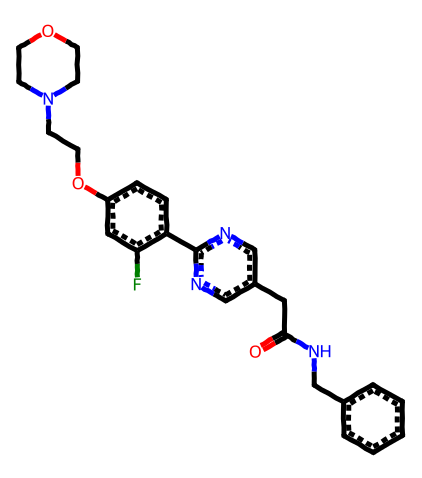 O=C(Cc1cnc(-c2ccc(OCCN3CCOCC3)cc2F)nc1)NCc1ccccc1